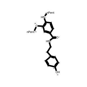 CCCCCNc1ccc(C(=O)NCCc2ccc(O)cc2)cc1OCCCCC